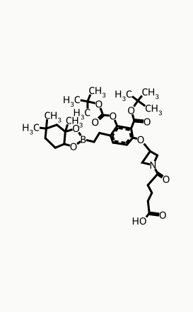 CC1(C)CCC2OB(CCc3ccc(OC4CN(C(=O)CCCC(=O)O)C4)c(C(=O)OC(C)(C)C)c3OC(=O)OC(C)(C)C)OC2(C)C1